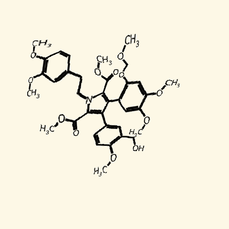 COCOc1cc(OC)c(OC)cc1-c1c(-c2ccc(OC)c(CO)c2)c(C(=O)OC)n(CCc2ccc(OC)c(OC)c2)c1C(=O)OC